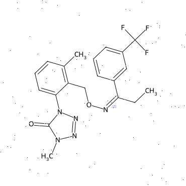 CC/C(=N/OCc1c(C)cccc1-n1nnn(C)c1=O)c1cccc(C(F)(F)F)c1